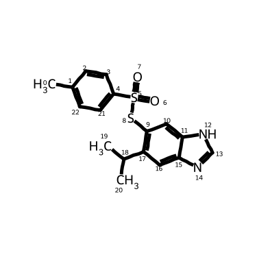 Cc1ccc(S(=O)(=O)Sc2cc3[nH]cnc3cc2C(C)C)cc1